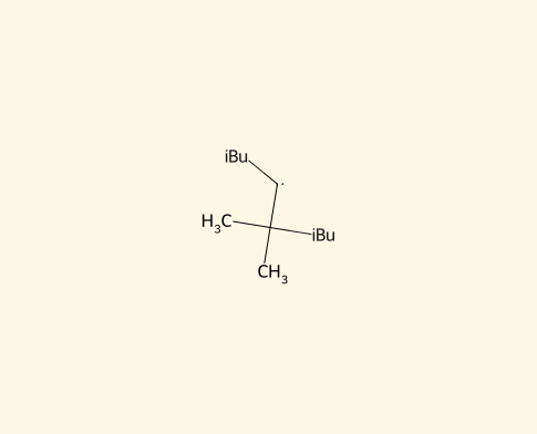 CCC(C)[CH]C(C)(C)C(C)CC